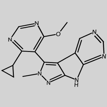 COc1ncnc(C2CC2)c1-c1c2c(nn1C)[nH]c1ncncc12